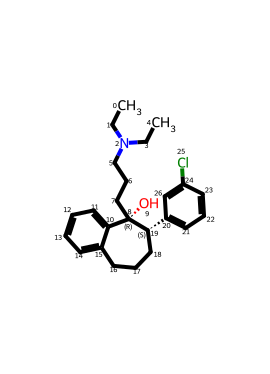 CCN(CC)CCC[C@]1(O)c2ccccc2CCC[C@H]1c1cccc(Cl)c1